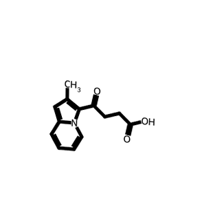 Cc1cc2ccccn2c1C(=O)CCC(=O)O